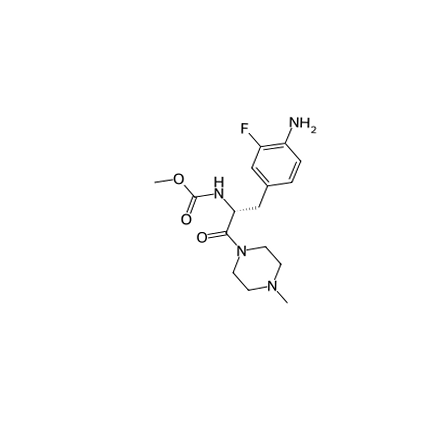 COC(=O)N[C@H](Cc1ccc(N)c(F)c1)C(=O)N1CCN(C)CC1